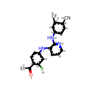 CCC(=O)c1ccc(Nc2cccnc2Nc2ccc(C#N)c(C(F)(F)F)c2)cc1F